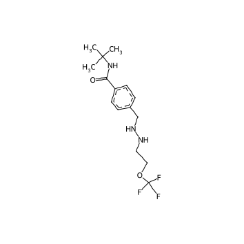 CC(C)(C)NC(=O)c1ccc(CNNCCOC(F)(F)F)cc1